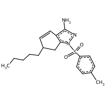 CCCCCC1C=Cc2c(N)nn(S(=O)(=O)c3ccc(C)cc3)c2C1